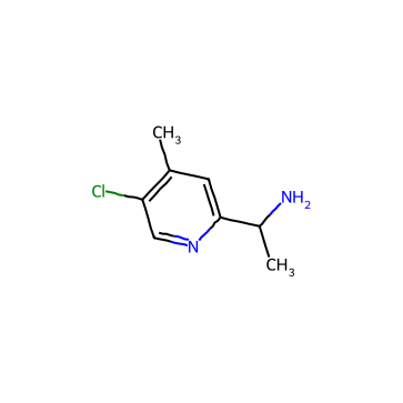 Cc1cc(C(C)N)ncc1Cl